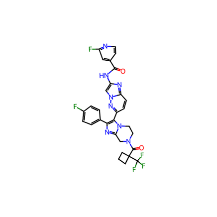 O=C(Nc1cn2nc(-c3c(-c4ccc(F)cc4)nc4n3CCN(C(=O)C3(C(F)(F)F)CCC3)C4)ccc2n1)c1ccnc(F)c1